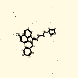 Clc1ccc2c3c(cccc13)/C(=N\CCCn1ccnc1)N2Cc1ccccc1